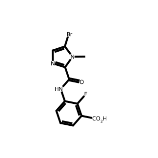 Cn1c(Br)cnc1C(=O)Nc1cccc(C(=O)O)c1F